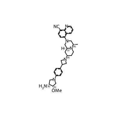 CO[C@H]1CN(c2ccc(C3CN([C@@H]4CCN5[C@@H](C4)CN(c4ccc(C#N)c6ncccc46)C[C@H]5C)C3)cc2)C[C@H]1N